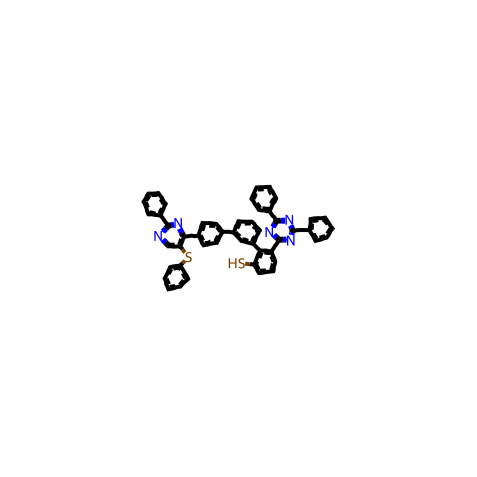 Sc1cccc(-c2nc(-c3ccccc3)nc(-c3ccccc3)n2)c1-c1cccc(-c2ccc(-c3nc(-c4ccccc4)ncc3Sc3ccccc3)cc2)c1